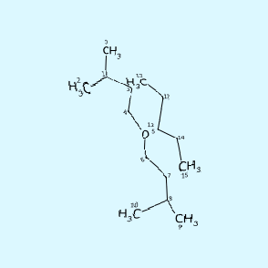 CC(C)CCOCCC(C)C.CCCCC